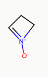 [O-][N+]1=CCC1